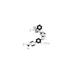 COc1cc(N2CCN(C(=O)C(C)C)CC2)ccc1Nc1ncnc(Nc2ccccc2S(=O)(=O)C(C)C)n1